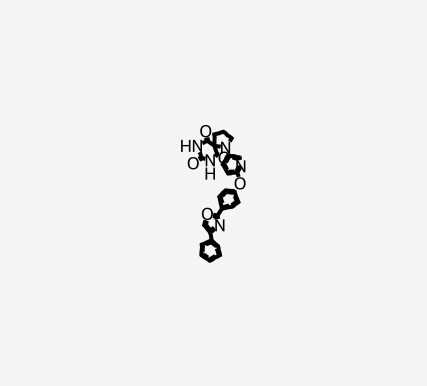 O=C1NC(=O)C2(CCCN2c2ccc(Oc3ccc(-c4nc(-c5ccccc5)co4)cc3)nc2)C(=O)N1